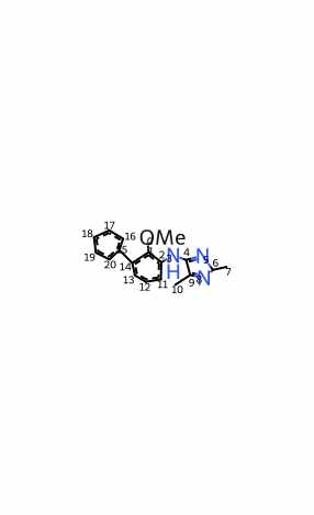 COc1c(NC2=NC(C)N=C2C)cccc1-c1ccccc1